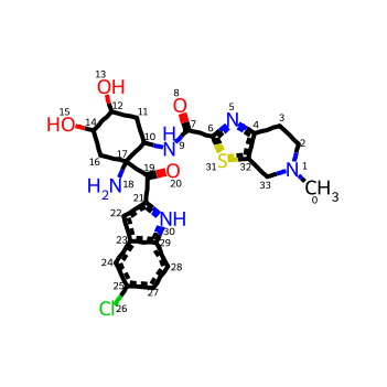 CN1CCc2nc(C(=O)NC3CC(O)C(O)CC3(N)C(=O)c3cc4cc(Cl)ccc4[nH]3)sc2C1